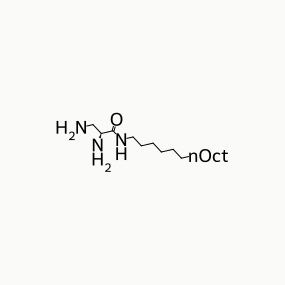 CCCCCCCCCCCCCCNC(=O)[C@@H](N)CN